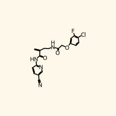 C=C(CCNC(=O)COc1ccc(Cl)c(F)c1)C(=O)Nc1ccc(C#N)cn1